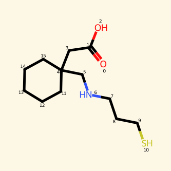 O=C(O)CC1(CNCCCS)CCCCC1